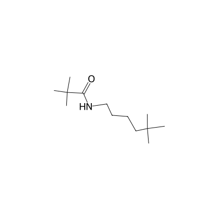 CC(C)(C)CCCCNC(=O)C(C)(C)C